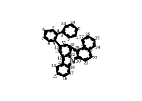 c1ccc(-c2ccccc2-c2cc3c4ccccc4n4c5ccc6ccccc6c5c(c2)c34)cc1